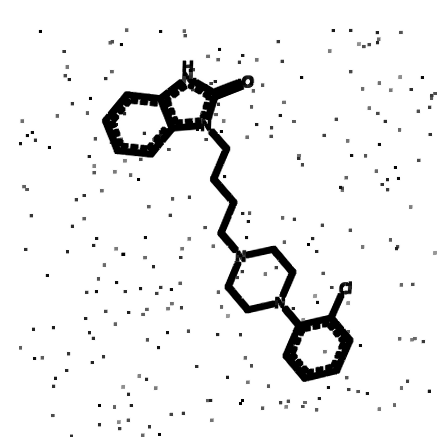 O=c1[nH]c2ccccc2n1CCCCN1CCN(c2ccccc2Cl)CC1